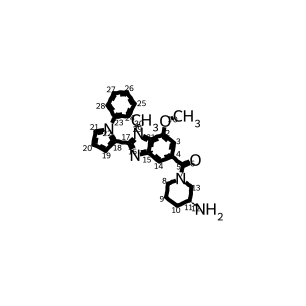 COc1cc(C(=O)N2CCC[C@@H](N)C2)cc2nc(-c3cccn3-c3ccccc3)n(C)c12